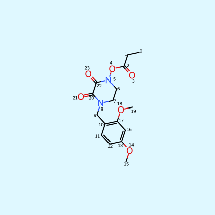 CCC(=O)ON1CCN(Cc2ccc(OC)cc2OC)C(=O)C1=O